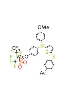 COc1ccc([S+](c2ccc(OC)cc2)c2ccc(Sc3ccc(C(C)=O)cc3)s2)cc1.O=S(=O)([O-])C(F)(F)C(F)(F)C(F)(F)C(F)(F)F